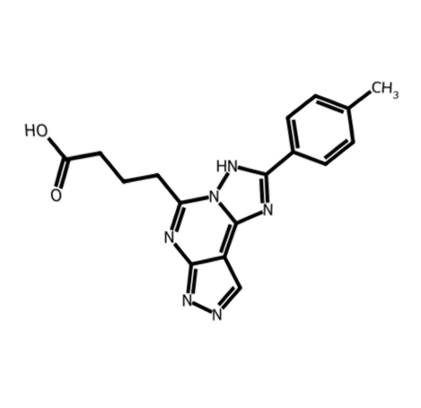 Cc1ccc(-c2nc3c4cnnc-4nc(CCCC(=O)O)n3[nH]2)cc1